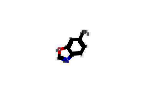 FC(F)(F)c1ccc2ncoc2c1